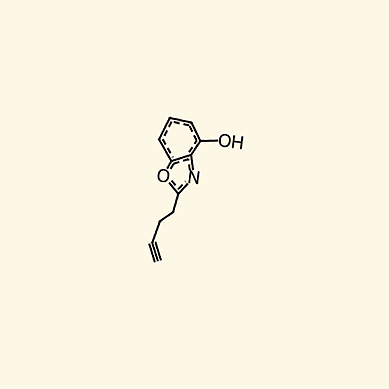 C#CCCc1nc2c(O)cccc2o1